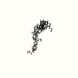 COCc1cc2cnc(Nc3ccc(N4CCN(C)CC4)cc3)nc2n1-c1cccc(N[SH](C)(C)=O)n1